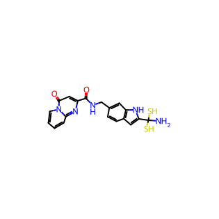 NC(S)(S)c1cc2ccc(CNC(=O)c3cc(=O)n4ccccc4n3)cc2[nH]1